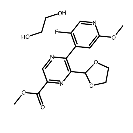 COC(=O)c1cnc(-c2cc(OC)ncc2F)c(C2OCCO2)n1.OCCO